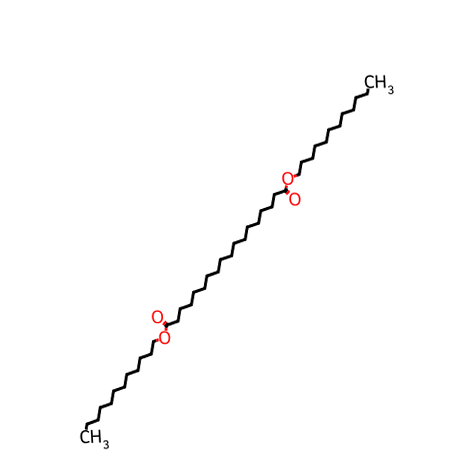 CCCCCCCCCCCCOC(=O)CCCCCCCCCCCCCCCCC(=O)OCCCCCCCCCCCC